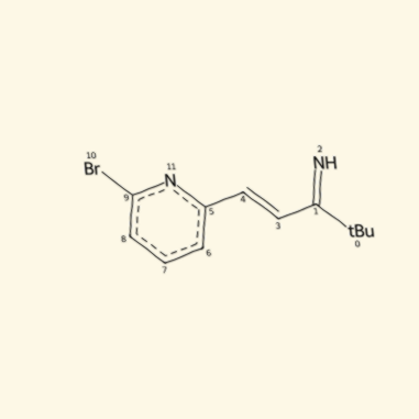 CC(C)(C)C(=N)/C=C/c1cccc(Br)n1